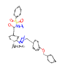 CC(=O)Nc1ccc(C(=O)NS(=O)(=O)c2ccccc2)cc1NCc1ccc(OCc2ccccc2)cc1